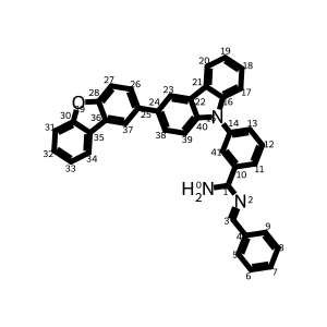 NC(/N=C/c1ccccc1)c1cccc(-n2c3ccccc3c3cc(-c4ccc5oc6ccccc6c5c4)ccc32)c1